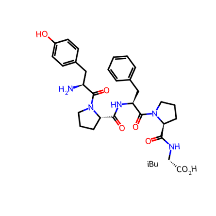 CC[C@H](C)[C@H](NC(=O)[C@@H]1CCCN1C(=O)[C@H](Cc1ccccc1)NC(=O)[C@@H]1CCCN1C(=O)[C@@H](N)Cc1ccc(O)cc1)C(=O)O